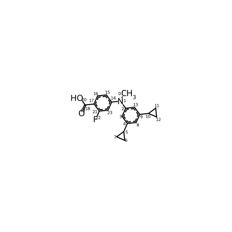 CN(c1cc(C2CC2)cc(C2CC2)c1)c1ccc(C(=O)O)c(F)c1